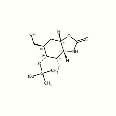 CC(C)(C)[Si](C)(C)O[C@@H]1[C@@H](CO)C[C@@H]2OC(=O)N[C@@H]2[C@@H]1F